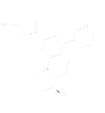 Cc1nc(-c2cc3c(=O)n([C@@H](C)CO)cnc3c(-c3cccnc3)n2)cs1